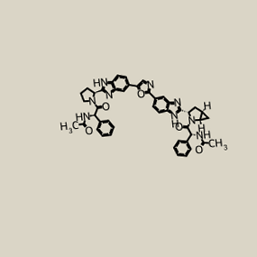 CC(=O)N[C@@H](C(=O)N1CCC[C@H]1c1nc2cc(-c3cnc(-c4ccc5[nH]c([C@@H]6C[C@H]7C[C@@H]7N6C(=O)[C@H](NC(C)=O)c6ccccc6)nc5c4)o3)ccc2[nH]1)c1ccccc1